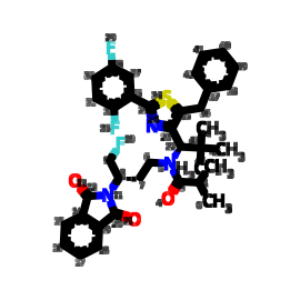 CC(C)C(=O)N(CC[C@@H](CF)N1C(=O)c2ccccc2C1=O)[C@@H](c1nc(-c2cc(F)ccc2F)sc1Cc1ccccc1)C(C)(C)C